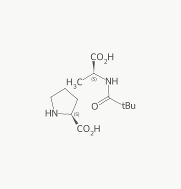 C[C@H](NC(=O)C(C)(C)C)C(=O)O.O=C(O)[C@@H]1CCCN1